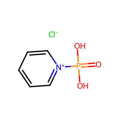 O=P(O)(O)[n+]1ccccc1.[Cl-]